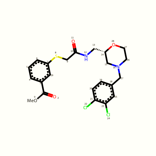 COC(=O)c1cccc(SCC(=O)NC[C@H]2CN(Cc3ccc(Cl)c(Cl)c3)CCO2)c1